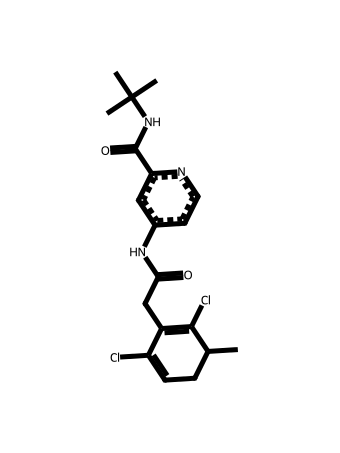 CC1CC=C(Cl)C(CC(=O)Nc2ccnc(C(=O)NC(C)(C)C)c2)=C1Cl